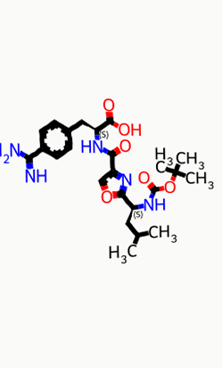 CC(C)C[C@H](NC(=O)OC(C)(C)C)c1nc(C(=O)N[C@@H](Cc2ccc(C(=N)N)cc2)C(=O)O)co1